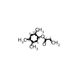 C=CC(=O)Oc1cc(C)c(C)cc1C